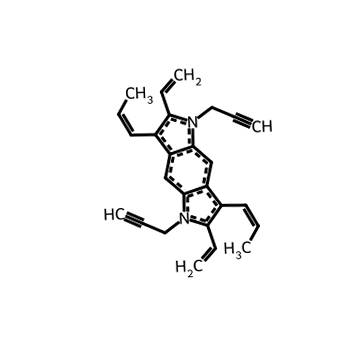 C#CCn1c(C=C)c(/C=C\C)c2cc3c(cc21)c(/C=C\C)c(C=C)n3CC#C